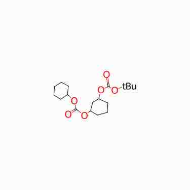 CC(C)(C)OC(=O)OC1CCCC(OC(=O)OC2CCCCC2)C1